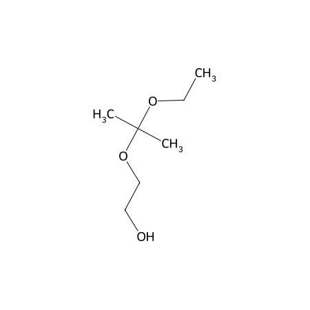 CCOC(C)(C)OCCO